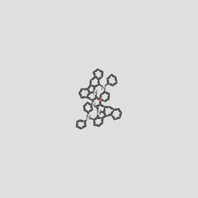 c1ccc(N(c2ccccc2)c2c3ccccc3cc3c4cccc5c6nc7c(cc6n(c23)c45)c2cc3ccccc3c3c4cccc(N(c5ccccc5)c5ccccc5)c4n7c23)cc1